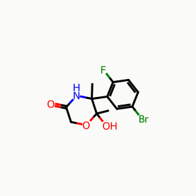 CC1(O)OCC(=O)NC1(C)c1cc(Br)ccc1F